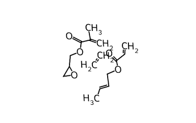 C=C.C=C(C)C(=O)OCC1CO1.C=CC(=O)OCC=CC